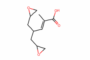 CC(=CC(CC1CO1)CC1CO1)C(=O)O